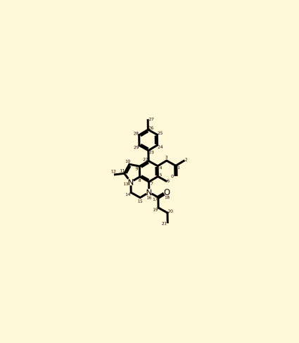 C=C(C)Cc1c(C)c2c3c(cc(C)n3CCN2C(=O)CCC)c1-c1ccc(C)cc1